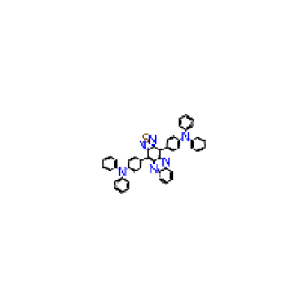 c1ccc(N(c2ccccc2)c2ccc(-c3c4nsnc4c(-c4ccc(N(c5ccccc5)c5ccccc5)cc4)c4nc5ccccc5nc34)cc2)cc1